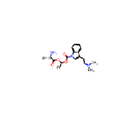 CC(C)C(OC(=O)[C@@H](N)C(C)C)OC(=O)n1cc(CCN(C)C)c2ccccc21